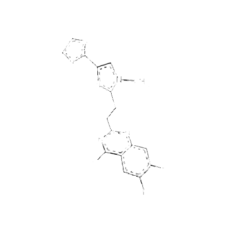 Cc1nc(CCc2nc(-c3nccs3)cn2C)nc2cc(F)c(F)cc12